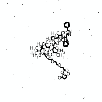 CC[C@H](C)[C@@H]([C@@H](CC(=O)N1CCC[C@H]1[C@H](OC)[C@@H](C)C(=O)N[C@@H](Cc1ccccc1)c1nnc(-c2ccccc2)o1)OC)N(C)C(=O)[C@@H](NC(=O)[C@H](C(C)C)N(C)CCOCCOCCOCCC(=O)ON1C(=O)CCC1=O)C(C)C